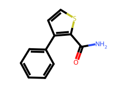 NC(=O)c1sccc1-c1ccccc1